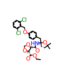 [CH][C@](Cc1ccc(OCc2c(Cl)cccc2Cl)cc1)(NC(=O)[C@@H]1OCO[C@H]1C(=O)OCC)OC(C)(C)C